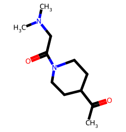 CC(=O)C1CCN(C(=O)CN(C)C)CC1